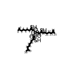 CC(C)CCCCCC(S)C(=O)OP(OC(=O)C(S)CCCCCC(C)C)OC(=O)C(S)CCCCCC(C)C